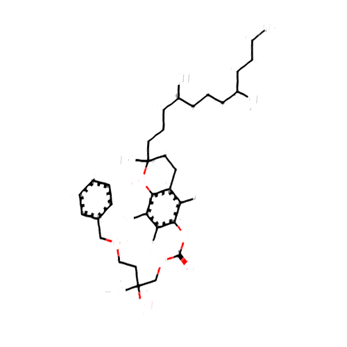 Cc1c(C)c2c(c(C)c1OC(=O)OCC(C)(O)CCOCc1ccccc1)CCC(C)(CCCC(C)CCCC(C)CCCC(C)C)O2